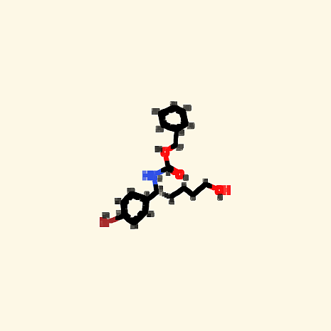 O=C(N[C@H](CCCCO)c1ccc(Br)cc1)OCc1ccccc1